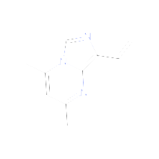 C=Cc1ncn2c(C)cc(C)nc12